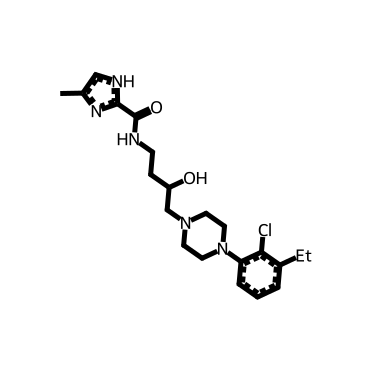 CCc1cccc(N2CCN(CC(O)CCNC(=O)c3nc(C)c[nH]3)CC2)c1Cl